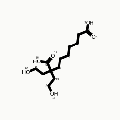 O=C(O)CCCCCCC(CCO)(CCO)C(=O)O